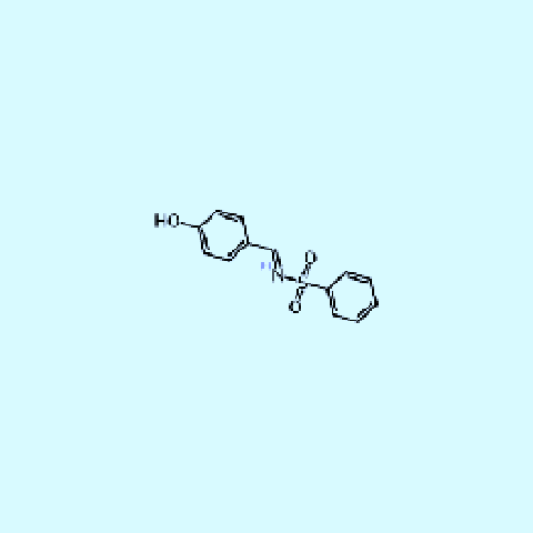 O=S(=O)(/N=C/c1ccc(O)cc1)c1ccccc1